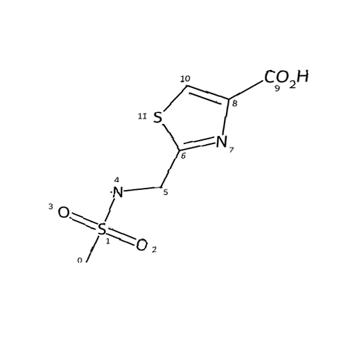 CS(=O)(=O)[N]Cc1nc(C(=O)O)cs1